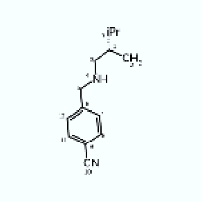 CC(C)[C@H](C)CNCc1ccc(C#N)cc1